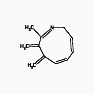 C=C1/C=C\C=C/C/N=C(/C)C1=C